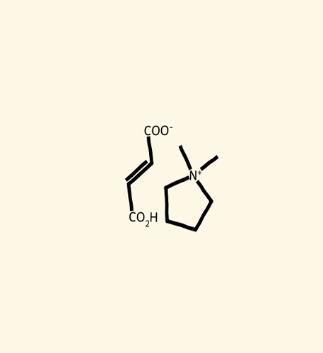 C[N+]1(C)CCCC1.O=C([O-])C=CC(=O)O